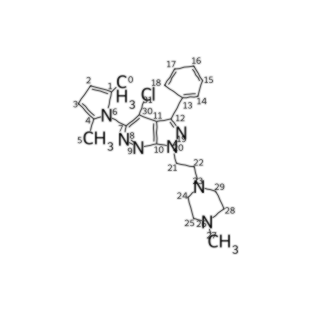 Cc1ccc(C)n1-c1nnc2c(c(-c3ccccc3)nn2CCN2CCN(C)CC2)c1Cl